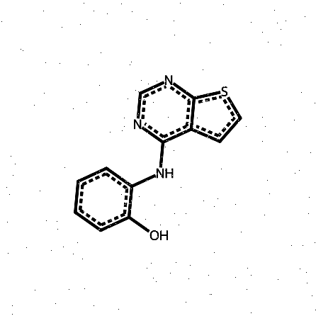 Oc1ccccc1Nc1ncnc2sccc12